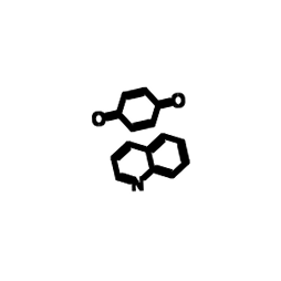 O=C1C=CC(=O)C=C1.c1ccc2ncccc2c1